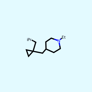 CCN1CCC(CC2(CC(C)C)CC2)CC1